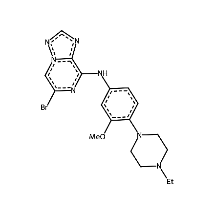 CCN1CCN(c2ccc(Nc3nc(Br)cn4ncnc34)cc2OC)CC1